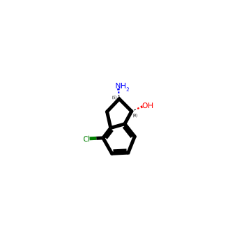 N[C@H]1Cc2c(Cl)cccc2[C@H]1O